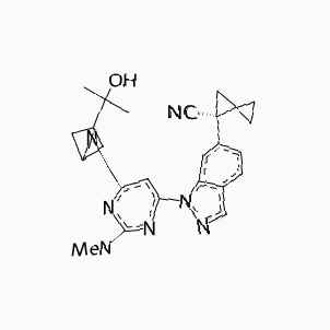 CNc1nc(N2CC3(C(C)(C)O)CC2C3)cc(-n2ncc3ccc([C@@]4(C#N)CC45CC5)cc32)n1